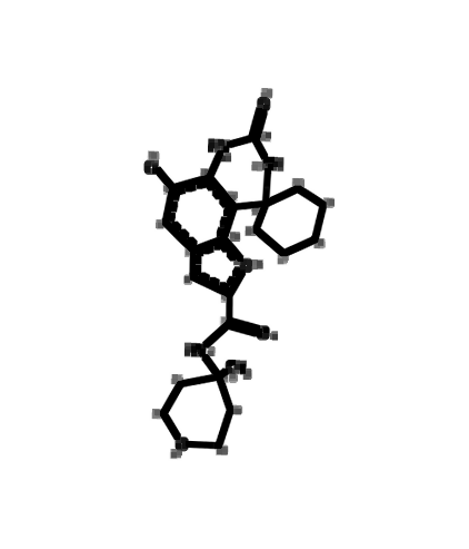 CC1(NC(=O)c2cc3cc(Cl)c4c(c3o2)C2(CCCCC2)NC(=O)N4)CCOCC1